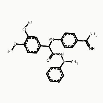 CCOc1cc(C(Nc2ccc(C(=N)N)cc2)C(=O)NN(C)c2ccccc2)ccc1OC(C)C